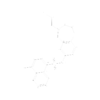 O=S(=O)(Nc1ccc2c(c1)CN(CCF)CCO2)c1ccc(Cl)c2ccccc12